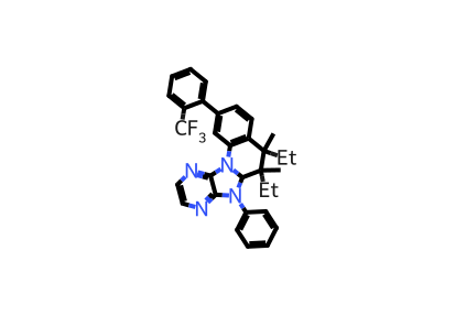 CCC1(C)c2ccc(-c3ccccc3C(F)(F)F)cc2N2c3nccnc3N(c3ccccc3)C2C1(C)CC